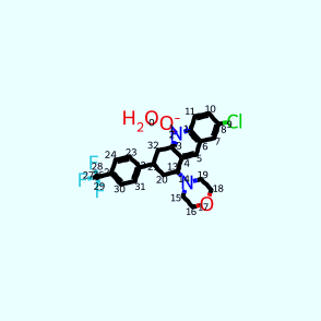 O.[O-][n+]1c2c(cc3cc(Cl)ccc31)C(N1CCOCC1)CC(c1ccc(C(F)(F)F)cc1)C2